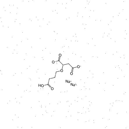 O=C([O-])CC(OCCCC(=O)O)C(=O)[O-].[Na+].[Na+]